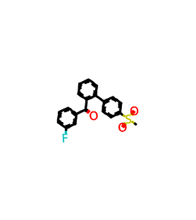 CS(=O)(=O)c1ccc(-c2ccccc2C(=O)c2cccc(F)c2)cc1